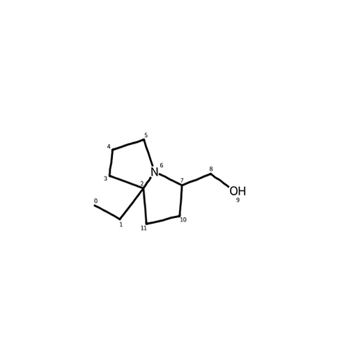 CCC12CCCN1C(CO)CC2